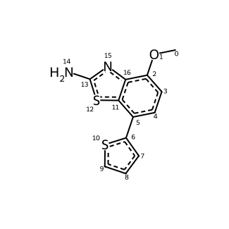 COc1ccc(-c2cccs2)c2sc(N)nc12